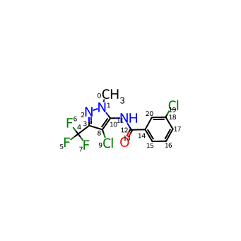 Cn1nc(C(F)(F)F)c(Cl)c1NC(=O)c1cccc(Cl)c1